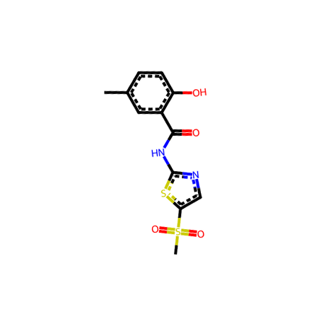 Cc1ccc(O)c(C(=O)Nc2ncc(S(C)(=O)=O)s2)c1